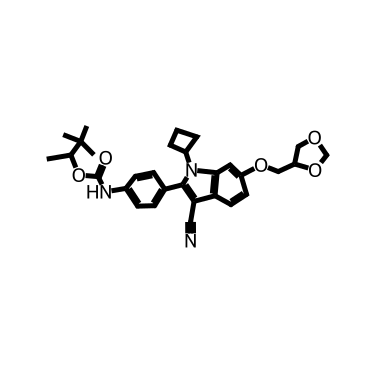 CC(OC(=O)Nc1ccc(-c2c(C#N)c3ccc(OCC4COCO4)cc3n2C2CCC2)cc1)C(C)(C)C